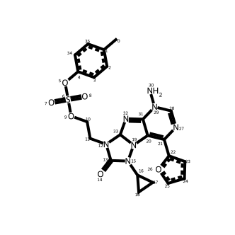 Cc1ccc(OS(=O)(=O)OCCN2C(=O)N(C3CC3)N3C4=C(c5ccco5)N=CN(N)C4=NC23)cc1